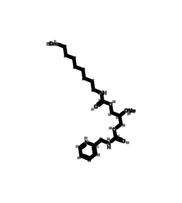 CCCCCCCCCCCCCCCCCCNC(=O)OCC(COC(=O)NCc1ccccn1)OC